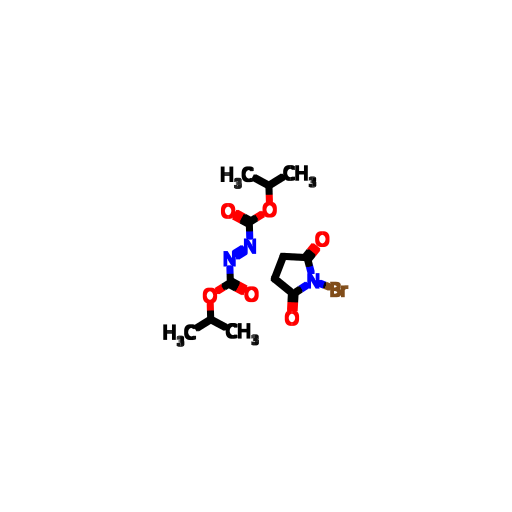 CC(C)OC(=O)N=NC(=O)OC(C)C.O=C1CCC(=O)N1Br